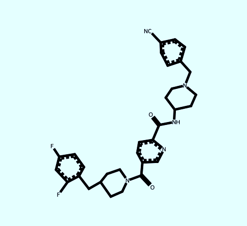 N#Cc1ccc(CN2CCC(NC(=O)c3ccc(C(=O)N4CCC(Cc5ccc(F)cc5F)CC4)cn3)CC2)cc1